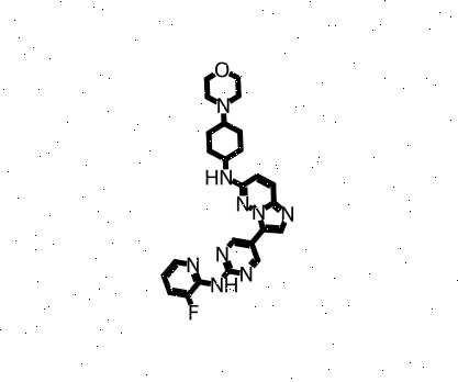 Fc1cccnc1Nc1ncc(-c2cnc3ccc(NC4CCC(N5CCOCC5)CC4)nn23)cn1